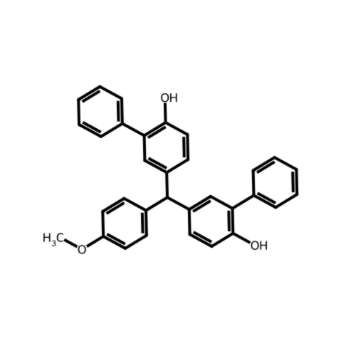 COc1ccc(C(c2ccc(O)c(-c3ccccc3)c2)c2ccc(O)c(-c3ccccc3)c2)cc1